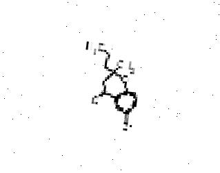 CCCC1(C)CC(=O)c2cc(Br)ccc2O1